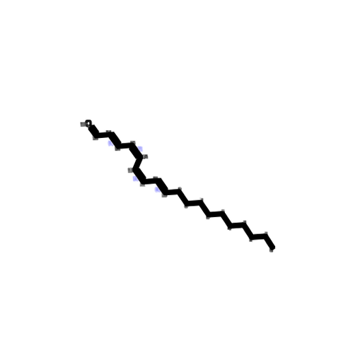 CCCCCCCCCC/C=C/C=C\C=C/C=C/C=O